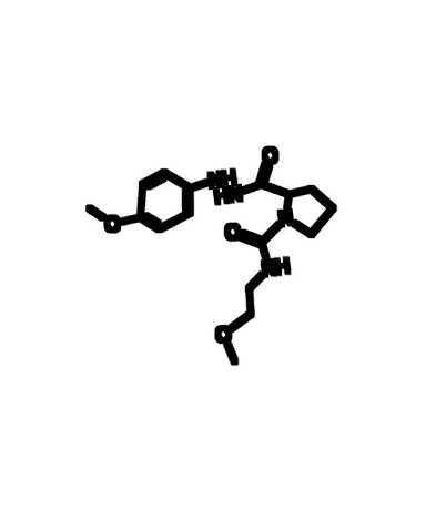 COCCNC(=O)N1CCCC1C(=O)NNc1ccc(OC)cc1